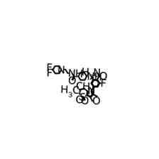 CC1(C)Cc2c(c3c(n2-c2cc(F)c(C(N)=O)c(N[C@H]4CC[C@H](C(=O)NCCN5CCC(F)(F)CC5)CC4)c2)COC3)S(=O)(=O)C1